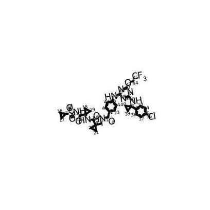 O=C(NCC1(C(=O)NC2(C(=O)NS(=O)(=O)C3CC3)CC2)CC1)c1ccc(Nc2nc(NC3(c4ccc(Cl)cc4)CC3)nc(OCC(F)(F)F)n2)cc1